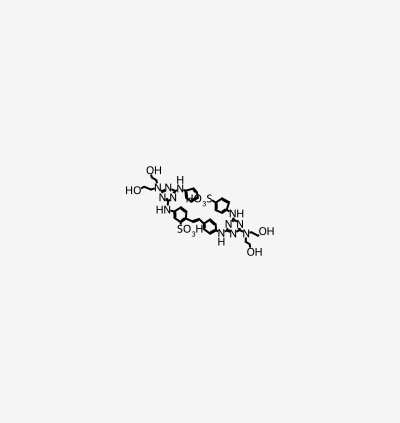 O=S(=O)(O)c1ccc(Nc2nc(Nc3ccc(/C=C/c4ccc(Nc5nc(Nc6ccccc6)nc(N(CCO)CCO)n5)cc4S(=O)(=O)O)cc3)nc(N(CCO)CCO)n2)cc1